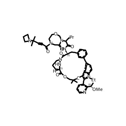 CCn1c(-c2cccnc2[C@H](C)OC)c2c3cc(ccc31)-c1cccc(c1)C[C@H](NC(=O)C(C(C)C)N1COCCN(C(=O)C#CC(C)(C)N3CCC3)CC1=O)C(=O)N1CCC[C@H](N1)C(=O)OCC(C)(C)C2